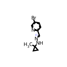 CC1(N/N=C/c2ccc(Br)cn2)CC1